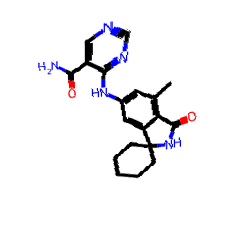 Cc1cc(Nc2ncncc2C(N)=O)cc2c1C(=O)NC21CCCCC1